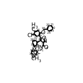 CCNC(=O)c1noc(-c2cc(Cl)c(C)cc2OCc2ccccc2)c1-c1cccc(N2CCN(C)CC2)c1